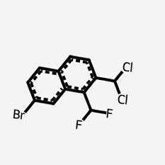 FC(F)c1c(C(Cl)Cl)ccc2ccc(Br)cc12